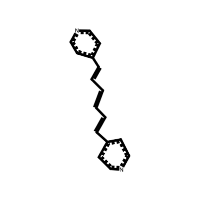 C(=CC=Cc1ccncc1)C=Cc1ccncc1